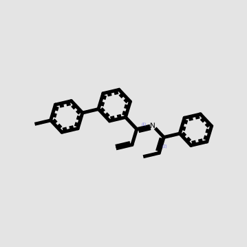 C=C/C(=N\C(=C/C)c1ccccc1)c1cccc(-c2ccc(C)cc2)c1